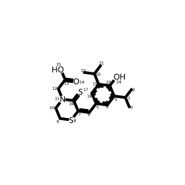 CC(C)c1cc(/C=C2/SCCN(CC(=O)O)C2=S)cc(C(C)C)c1O